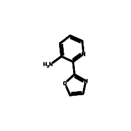 Nc1cccnc1-c1ncco1